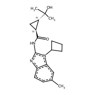 Cc1ccc2nc(NC(=O)[C@H]3C[C@@H]3C(C)(C)O)n(C3CCC3)c2c1